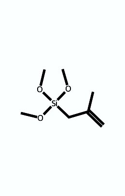 C=C(C)C[Si](OC)(OC)OC